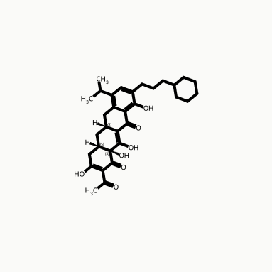 CC(=O)C1=C(O)C[C@@H]2C[C@@H]3Cc4c(C(C)C)cc(CCCC5CCCCC5)c(O)c4C(=O)C3=C(O)[C@]2(O)C1=O